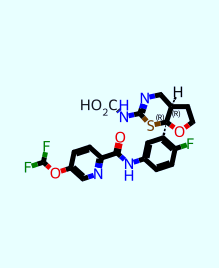 O=C(O)NC1=NC[C@H]2CCO[C@@]2(c2cc(NC(=O)c3ccc(OC(F)F)cn3)ccc2F)S1